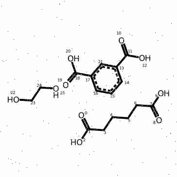 O=C(O)CCCCC(=O)O.O=C(O)c1cccc(C(=O)O)c1.OCCO